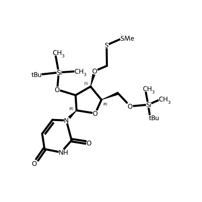 CSSCO[C@@H]1C(O[Si](C)(C)C(C)(C)C)[C@H](n2ccc(=O)[nH]c2=O)O[C@@H]1CO[Si](C)(C)C(C)(C)C